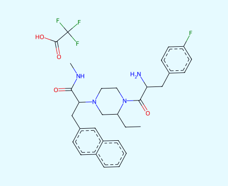 CCC1CN(C(Cc2ccc3ccccc3c2)C(=O)NC)CCN1C(=O)C(N)Cc1ccc(F)cc1.O=C(O)C(F)(F)F